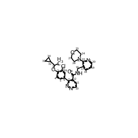 CC(Oc1ccc(-c2nnccc2C(=O)NCc2cccnc2N2CCOCC2)cc1Cl)C1CC1